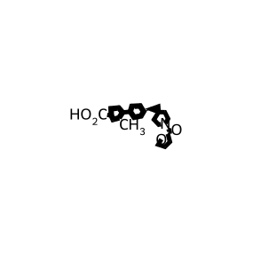 Cc1cc(C(=O)O)ccc1-c1ccc([C@@H]2CC23CCN(C(=O)[C@H]2CCCO2)CC3)cc1